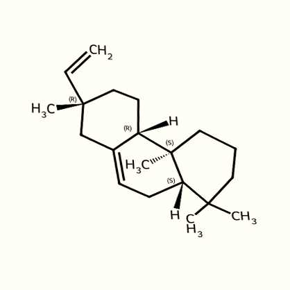 C=C[C@]1(C)CC[C@H]2C(=CC[C@H]3C(C)(C)CCC[C@]23C)C1